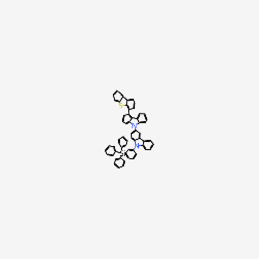 c1ccc([Si](c2ccccc2)(c2ccccc2)c2cccc(-n3c4ccccc4c4cc(-n5c6ccccc6c6c(-c7cccc8c7sc7ccccc78)cccc65)ccc43)c2)cc1